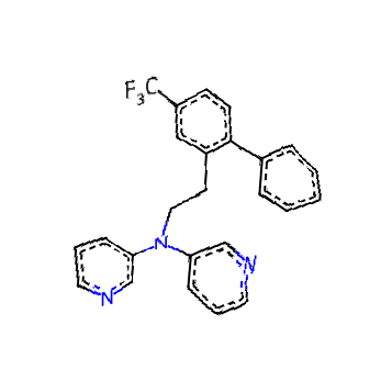 FC(F)(F)c1ccc(-c2ccccc2)c(CCN(c2cccnc2)c2cccnc2)c1